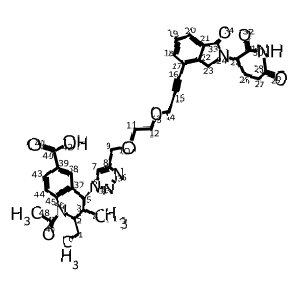 CCC1C(C)[C@H](n2cc(COCCOCC#Cc3cccc4c3CN(C3CCC(=O)NC3=O)C4=O)nn2)c2cc(C(=O)O)ccc2N1C(C)=O